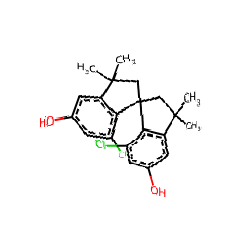 CC1(C)CC2(CC(C)(C)c3cc(O)cc(Cl)c32)c2c(Cl)cc(O)cc21